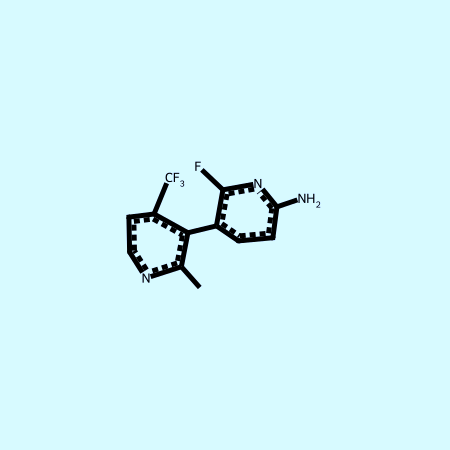 Cc1nccc(C(F)(F)F)c1-c1ccc(N)nc1F